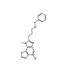 Cn1c(CCCOCc2ccccc2)nc2c[n+]([O-])c3ccsc3c21